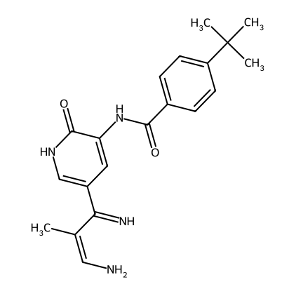 C/C(=C/N)C(=N)c1c[nH]c(=O)c(NC(=O)c2ccc(C(C)(C)C)cc2)c1